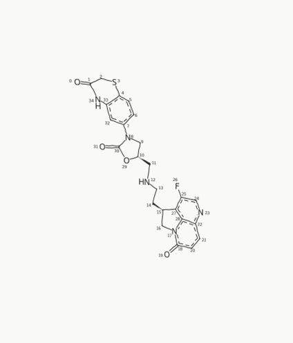 O=C1CSc2ccc(N3C[C@@H](CNCC[C@@H]4Cn5c(=O)ccc6ncc(F)c4c65)OC3=O)cc2N1